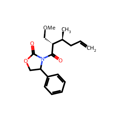 C=CC[C@H](C)[C@@H](COC)C(=O)N1C(=O)OCC1c1ccccc1